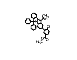 CNc1nn(C(c2ccccc2)(c2ccccc2)c2ccccc2)c2ccc(-c3cc(C(=O)OC)ccc3Cl)cc12